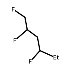 CCC(F)CC(F)CF